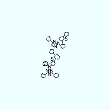 c1ccc(-c2cc(-c3cccc(-c4cccc5c4sc4c5ccc5c4c4ccccc4n5-c4nc(-c5ccccc5)nc(-c5ccccc5)n4)c3)nc(-n3c4ccccc4c4c5sc6ccccc6c5ccc43)n2)cc1